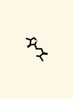 C=C(CCC1SCC(C)C1=C)C(C)C